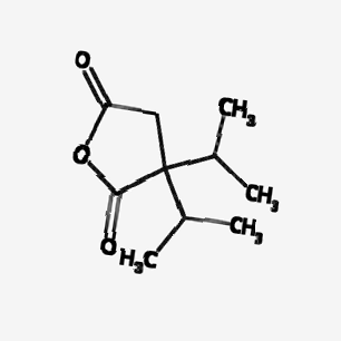 CC(C)C1(C(C)C)CC(=O)OC1=O